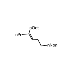 CCCCCCCCCCCC=C(CCC)CCCCCCCC